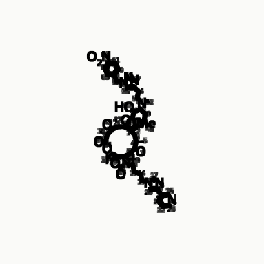 CO[C@]1(C)C[C@@H](C)C(=O)[C@H](C)[C@H]2N(CCCCn3cnc(-c4cccnc4)c3)C(=O)O[C@]2(C)[C@@H](I)OC(=O)[C@H](C)C(=O)[C@H](C)[C@H]1O[C@@H]1O[C@H](C)C[C@H](N(C)CCc2cn(Cc3ccc([N+](=O)[O-])cc3)nn2)[C@H]1O